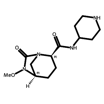 CON1C(=O)N2C[C@H]1CC[C@@H]2C(=O)NC1CCNCC1